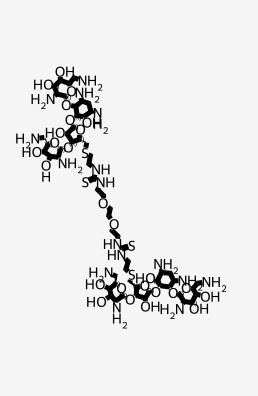 NCC1O[C@H](OC2C(N)C[C@@H](N)C(O)[C@H]2O[C@@H]2O[C@H](CSCCNC(=S)NCCOCCOCCNC(=S)NCCSC[C@H]3O[C@@H](OC4C(O[C@@H]5OC(CN)C(O)[C@H](O)C5N)C(N)C[C@H](N)[C@@H]4O)C(O)C3O[C@@H]3O[C@H](CN)C(O)C(O)C3N)[C@H](O[C@H]3O[C@@H](CN)C(O)C(O)C3N)C2O)C(N)[C@@H](O)C1O